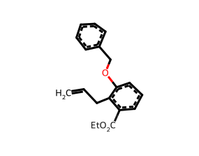 C=CCc1c(OCc2ccccc2)cccc1C(=O)OCC